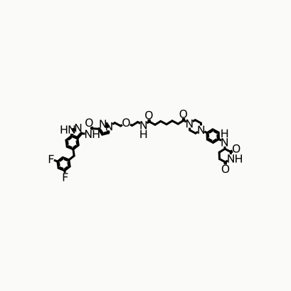 O=C(CCCCCC(=O)N1CCN(c2ccc(NC3CCC(=O)NC3=O)cc2)CC1)NCCOCCn1ccc(C(=O)Nc2n[nH]c3ccc(Cc4cc(F)cc(F)c4)cc23)n1